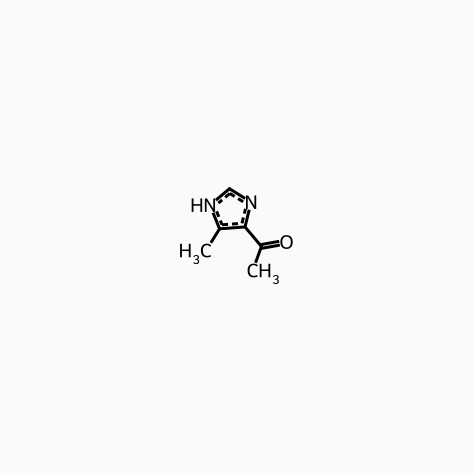 CC(=O)c1nc[nH]c1C